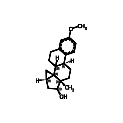 COc1ccc2c(c1)CC[C@@H]1[C@@H]2CC[C@]2(C)[C@@H](O)C[C@H]3C[C@@]312